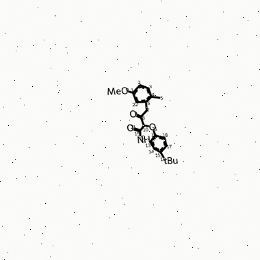 COc1ccc(C)c(CC(=O)C(Oc2ccc(C(C)(C)C)cc2)C(N)=O)c1